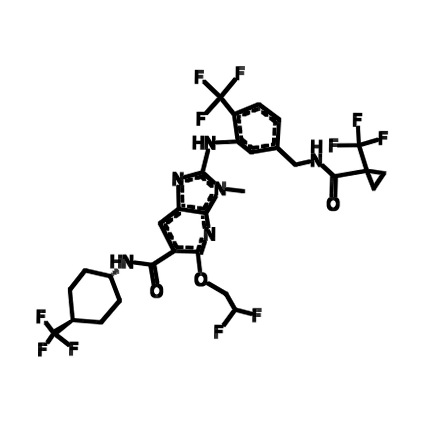 Cn1c(Nc2cc(CNC(=O)C3(C(F)(F)F)CC3)ccc2C(F)(F)F)nc2cc(C(=O)N[C@H]3CC[C@H](C(F)(F)F)CC3)c(OCC(F)F)nc21